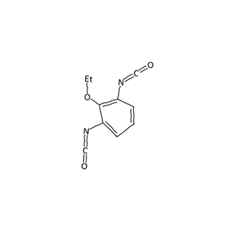 CCOc1c(N=C=O)cccc1N=C=O